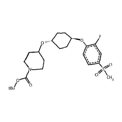 CC(C)(C)OC(=O)N1CCC(O[C@H]2CC[C@H](Oc3ccc(S(C)(=O)=O)cc3F)CC2)CC1